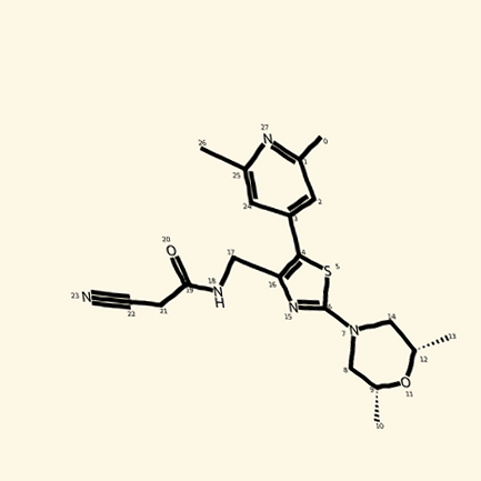 Cc1cc(-c2sc(N3C[C@@H](C)O[C@@H](C)C3)nc2CNC(=O)CC#N)cc(C)n1